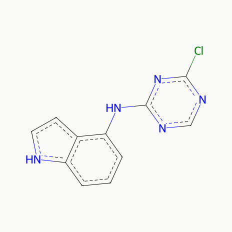 Clc1ncnc(Nc2cccc3[nH]ccc23)n1